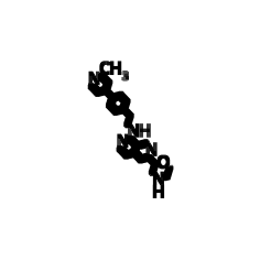 Cc1cc(-c2ccc(CCNc3nccc4cc(C5CNCCO5)ncc34)cc2)ccn1